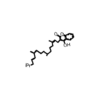 CC(=CCc1c(O)c2ccccc2oc1=O)CCCC(C)CCCC(C)CCCC(C)C